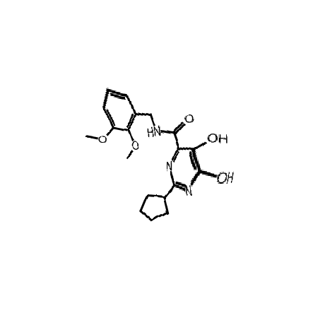 COc1cccc(CNC(=O)c2nc(C3CCCC3)nc(O)c2O)c1OC